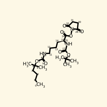 CCCCC(C)(C)OC(=O)NCCCC[C@H](NC(=O)OC(C)(C)C)C(=O)ON1C(=O)CCC1=O